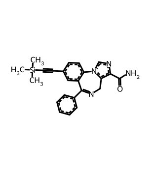 C[Si](C)(C)C#Cc1ccc2c(c1)C(c1ccccc1)=NCc1c(C(N)=O)ncn1-2